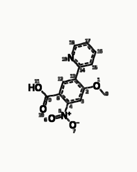 COc1cc([N+](=O)[O-])c(C(=O)O)cc1-c1ccccn1